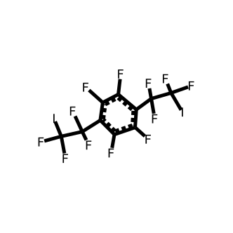 Fc1c(F)c(C(F)(F)C(F)(F)I)c(F)c(F)c1C(F)(F)C(F)(F)I